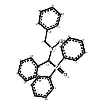 O=P(c1ccccc1)(c1ccccc1)C(c1ccccc1)N(O)Cc1ccccc1